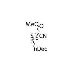 CCCCCCCCCCCCSC(=S)SC(C)(C#N)CCC(=O)OC